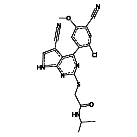 COc1cc(-c2nc(SCC(=O)NC(C)C)nc3[nH]cc(C#N)c23)c(Cl)cc1C#N